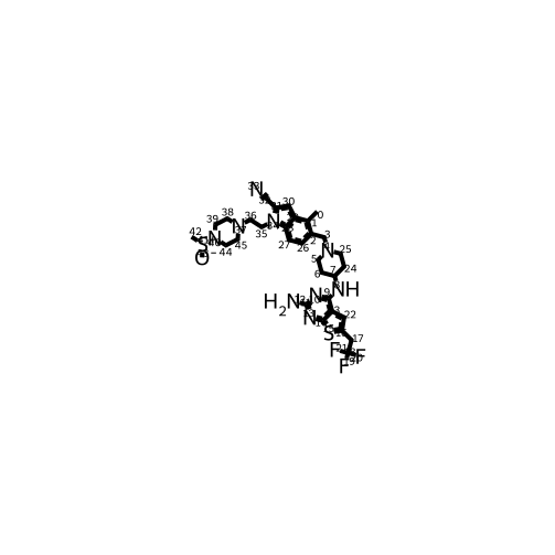 Cc1c(CN2CCC(Nc3nc(N)nc4sc(CC(F)(F)F)cc34)CC2)ccc2c1cc(C#N)n2CCN1CCN([S+](C)[O-])CC1